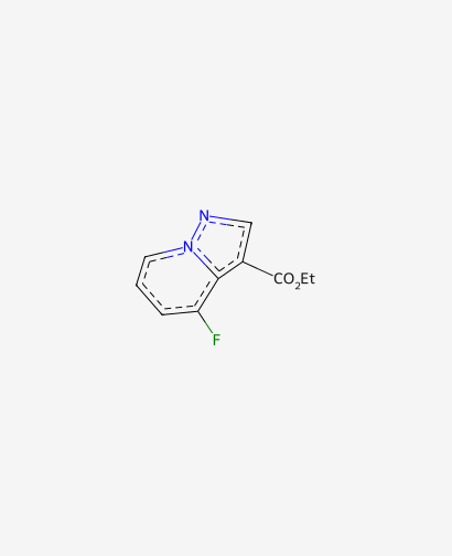 CCOC(=O)c1cnn2cccc(F)c12